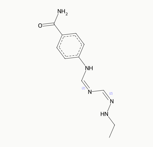 CCN/N=C\N=C/Nc1ccc(C(N)=O)cc1